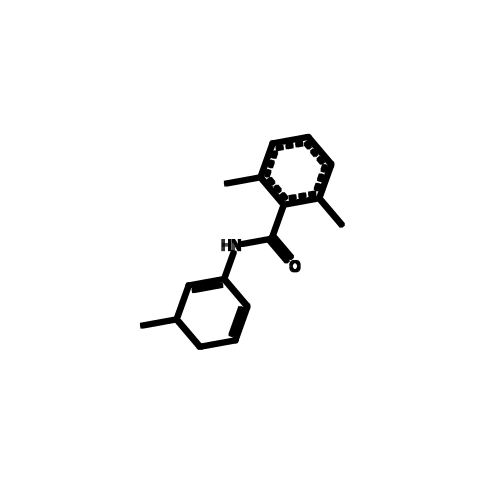 Cc1cccc(C)c1C(=O)NC1=CC(C)CC=C1